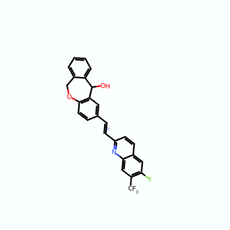 OC1c2ccccc2COc2ccc(/C=C/c3ccc4cc(F)c(C(F)(F)F)cc4n3)cc21